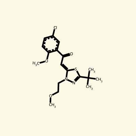 COCCN1N=C(C(C)(C)C)S/C1=C\C(=O)c1cc(Cl)ccc1OC